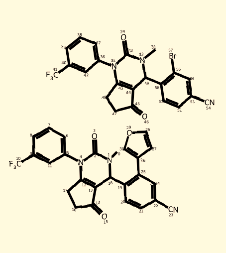 CN1C(=O)N(c2cccc(C(F)(F)F)c2)C2=C(C(=O)CC2)C1c1ccc(C#N)cc1-c1ccoc1.CN1C(=O)N(c2cccc(C(F)(F)F)c2)C2=C(C(=O)CC2)C1c1ccc(C#N)cc1Br